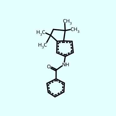 CC1(C)CC(C)(C)c2cc(NC(=O)c3ccccc3)ccc21